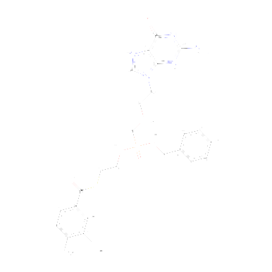 COc1ccc(C(=O)SCCOP(=O)(COCCn2cnc3c(=O)[nH]c(N)nc32)OCc2ccccc2)cc1C